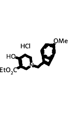 CCOC(=O)C1=C(O)CCN(CC2=Cc3cc(OC)ccc32)C1.Cl